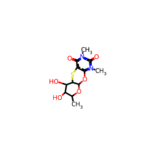 CC1OC2Oc3c(c(=O)n(C)c(=O)n3C)SC2C(O)C1O